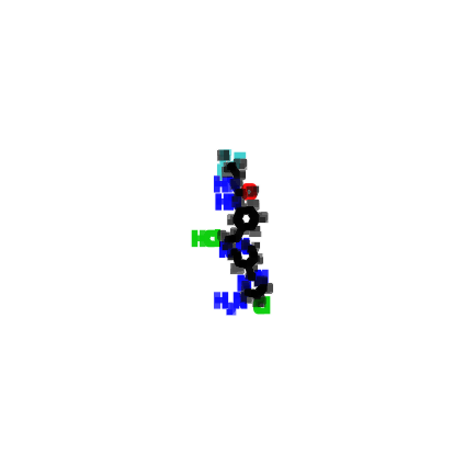 Cl.Nc1nc(-c2ccn3c(-c4cccc(NC(=O)NCC(F)(F)F)c4)cnc3c2)ncc1Cl